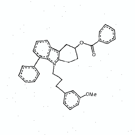 COc1cccc(CCCn2c3c(c4cccc(-c5ccccc5)c42)CC(OC(=O)c2ccccc2)CC3)c1